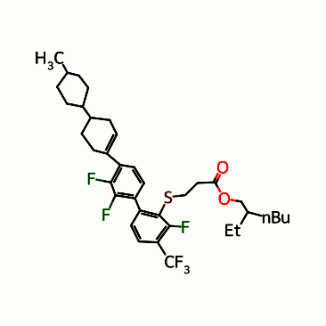 CCCCC(CC)COC(=O)CCSc1c(-c2ccc(C3=CCC(C4CCC(C)CC4)CC3)c(F)c2F)ccc(C(F)(F)F)c1F